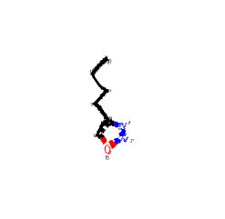 CCC[CH]c1conn1